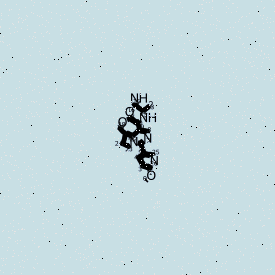 COc1ccc(C2=NC=C3C(NC(C)C(N)=O)=COCC4=C3N2CC4)cn1